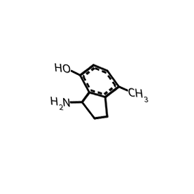 Cc1ccc(O)c2c1CCC2N